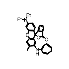 CCN(CC)c1ccc2c(c1)Oc1cc(C)c(NC3=CC=CCC=C3)cc1C21OC(=O)c2ccccc21